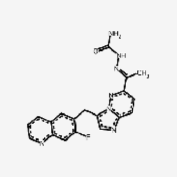 CC(=NNC(N)=O)c1ccc2ncc(Cc3cc4cccnc4cc3F)n2n1